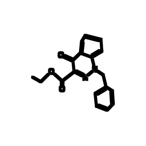 CCOC(=O)c1nn(Cc2ccccc2)c2ccccc2c1=O